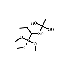 CCC(NC(C)(O)O)[Si](OC)(OC)OC